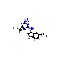 Cc1ccc2c(c1)C(Nc1nc(N)nc([C@H](C)F)n1)CC2